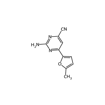 Cc1ccc(-c2cc(C#N)nc(N)n2)o1